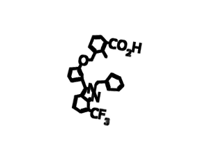 Cc1c(COc2cccc(-c3c4cccc(C(F)(F)F)c4nn3Cc3ccccc3)c2)cccc1C(=O)O